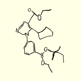 CCOB(OC(C)(C)CC)c1cccc(-n2ncc(C(=O)OCC)c2C2CCCC2)c1